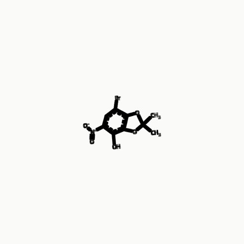 CC1(C)Oc2c(Br)cc([N+](=O)[O-])c(O)c2O1